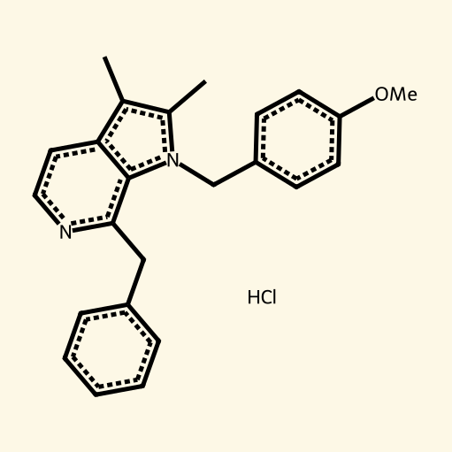 COc1ccc(Cn2c(C)c(C)c3ccnc(Cc4ccccc4)c32)cc1.Cl